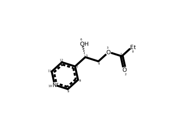 CCC(=O)OC[C@@H](O)c1ccncc1